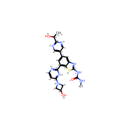 CCNC(=O)Nc1nc2cc(-c3cnc(C(C)O)nc3)cc(-c3nccc(N4CC(O)C4)n3)c2s1